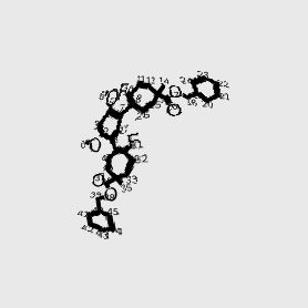 COc1cc(OC)c(C2=C(F)C=CC(C)(C(=O)OCc3ccccc3)C=C2)cc1C1=C(F)C=CC(C)(C(=O)OCc2ccccc2)C=C1